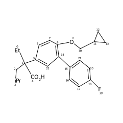 CCC(CC(C)C)(C(=O)O)c1ccc(OCC2CC2)c(-c2ccc(F)cc2)c1